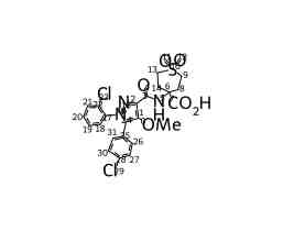 COc1c(C(=O)NC2(C(=O)O)CCS(=O)(=O)CC2)nn(-c2ccccc2Cl)c1-c1ccc(Cl)cc1